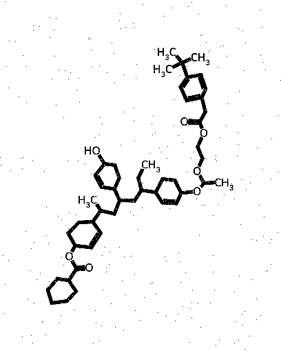 CCC(CC(CC(C)C1C=CC(OC(=O)C2CCCCC2)CC1)C1C=CC(O)CC1)C1C=CC(OC(C)OCCOC(=O)Cc2ccc(C(C)(C)C)cc2)CC1